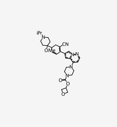 COC1(C2C=CC(c3cc4c(N5CCN(C(=O)OC6COC6)CC5)ccnn4c3)=C(C#N)C2)CCN(C(C)C)CC1